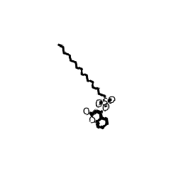 CCCCCCCCCCCCCCCCS(=O)(=O)Oc1cc(=O)oc2ccccc12